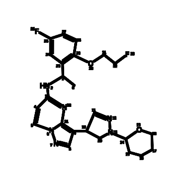 CC(Nc1ccn2ncc(C3C=NN(C4CCCCO4)C3)c2n1)c1cc(F)ccc1OCCF